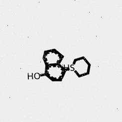 Oc1ccc([SH]2CCCCC2)c2ccccc12